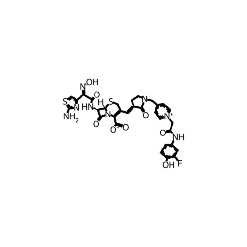 Nc1nc(/C(=N/O)C(=O)N[C@@H]2C(=O)N3C(C(=O)[O-])=C(/C=C4\CCN(Cc5cc[n+](CC(=O)Nc6ccc(O)c(F)c6)cc5)C4=O)CS[C@H]23)cs1